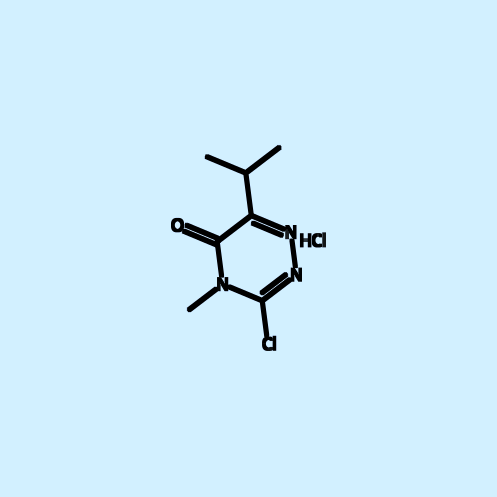 CC(C)c1nnc(Cl)n(C)c1=O.Cl